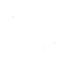 COc1cccc(Oc2cc(C)nn3cc(C)nc23)c1